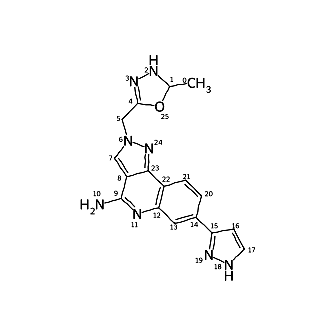 CC1NN=C(Cn2cc3c(N)nc4cc(-c5cc[nH]n5)ccc4c3n2)O1